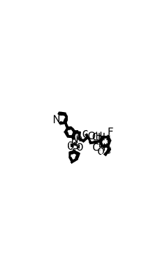 CC(C)(CC(O)(Cc1cc2cc(-c3cccnc3)ccc2n1S(=O)(=O)c1ccccc1)C(F)(F)F)c1cc(F)cc2c1OCC2